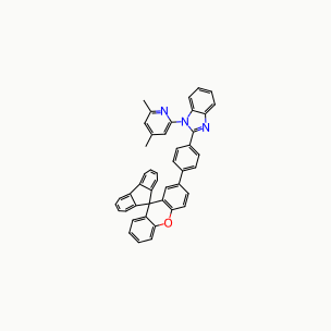 Cc1cc(C)nc(-n2c(-c3ccc(-c4ccc5c(c4)C4(c6ccccc6O5)c5ccccc5-c5ccccc54)cc3)nc3ccccc32)c1